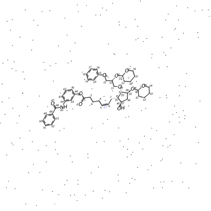 O=C(CCC/C=C\C[C@@H]1[C@H](OCC(COc2ccccc2)OC2CCCCO2)[C@@H](OC2CCCCO2)C[C@H]1O)Oc1cccc(NC(=O)c2ccccc2)c1